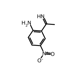 CC(=N)c1cc([N+](=O)[O-])ccc1N